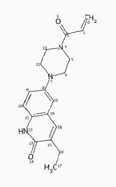 C=CC(=O)N1CCN(c2ccc3[nH]c(=O)c(CC)cc3c2)CC1